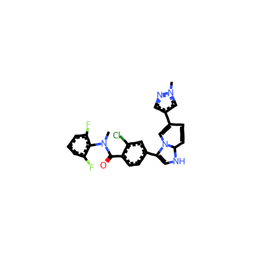 CN(C(=O)c1ccc(C2=CNC3C=CC(c4cnn(C)c4)=CN23)cc1Cl)c1c(F)cccc1F